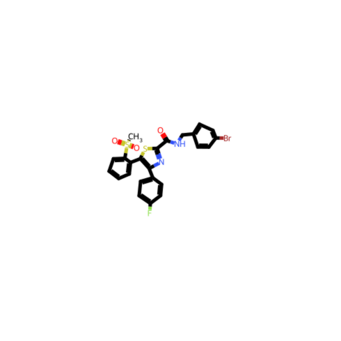 CS(=O)(=O)c1ccccc1-c1sc(C(=O)NCc2ccc(Br)cc2)nc1-c1ccc(F)cc1